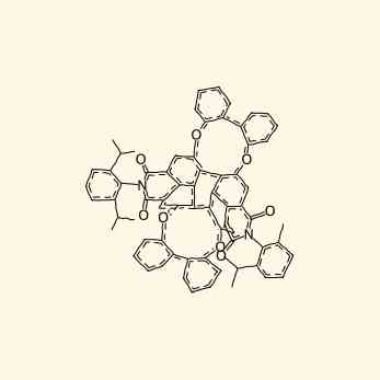 Cc1cccc(C(C)C)c1-n1c(=O)c2cc3oc4ccccc4c4ccccc4oc4cc5c(=O)n(-c6c(C(C)C)cccc6C(C)C)c(=O)c6cc7oc8ccccc8c8ccccc8oc8cc(c1=O)c2c1c3c4c(c56)c7c81